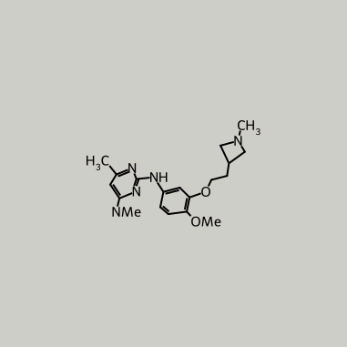 CNc1cc(C)nc(Nc2ccc(OC)c(OCCC3CN(C)C3)c2)n1